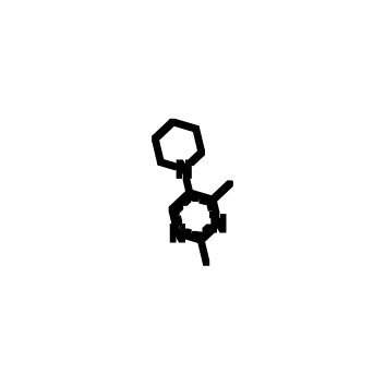 Cc1ncc(N2CCCCC2)c(C)n1